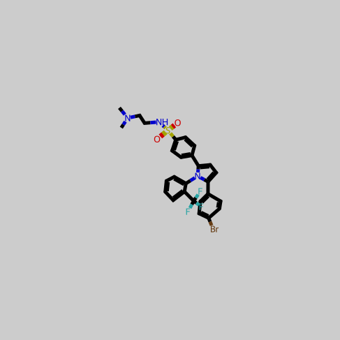 CN(C)CCNS(=O)(=O)c1ccc(-c2ccc(-c3ccc(Br)cc3)n2-c2ccccc2C(F)(F)F)cc1